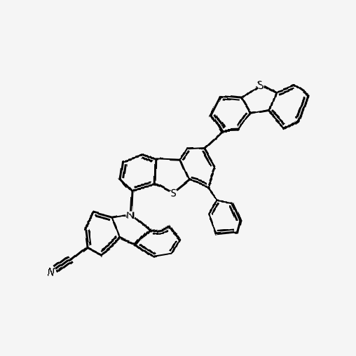 N#Cc1ccc2c(c1)c1ccccc1n2-c1cccc2c1sc1c(-c3ccccc3)cc(-c3ccc4sc5ccccc5c4c3)cc12